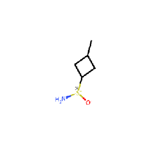 CC1CC([S@+](N)[O-])C1